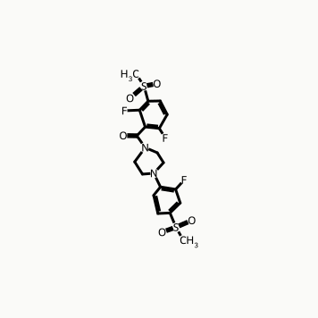 CS(=O)(=O)c1ccc(N2CCN(C(=O)c3c(F)ccc(S(C)(=O)=O)c3F)CC2)c(F)c1